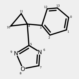 c1ccc(C2(c3ncon3)CC2)cc1